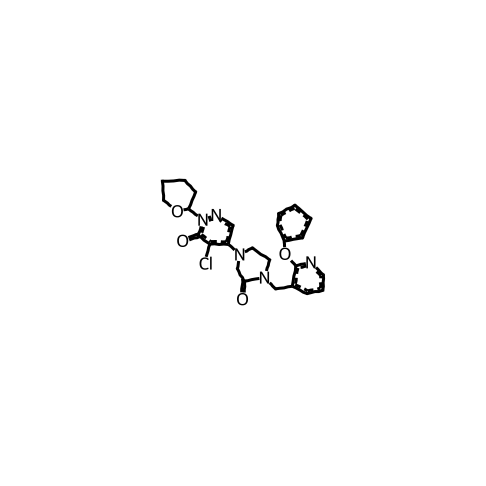 O=C1CN(c2cnn(C3CCCCO3)c(=O)c2Cl)CCN1Cc1cccnc1Oc1ccccc1